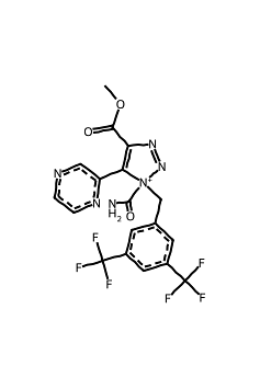 COC(=O)C1=C(c2cnccn2)[N+](Cc2cc(C(F)(F)F)cc(C(F)(F)F)c2)(C(N)=O)N=N1